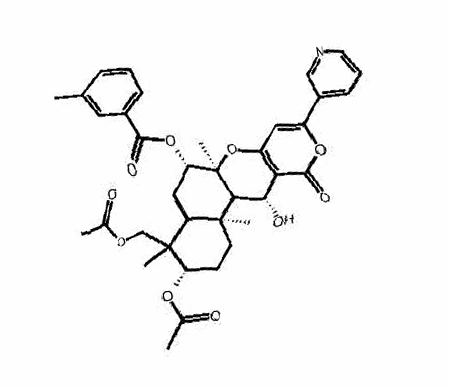 CC(=O)OCC1(C)C2C[C@H](OC(=O)c3cccc(C)c3)[C@@]3(C)Oc4cc(-c5cccnc5)oc(=O)c4[C@H](O)C3[C@@]2(C)CC[C@@H]1OC(C)=O